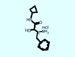 Cl.N[C@@H](Cc1ccccc1)C(O)C(=O)NC1CCC1